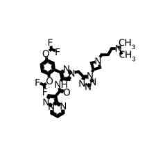 CN(C)CCCN1CC(n2nnnc2Cn2cc(NC(=O)c3cnn4cccnc34)c(-c3cc(OC(F)F)ccc3OC(F)F)n2)C1